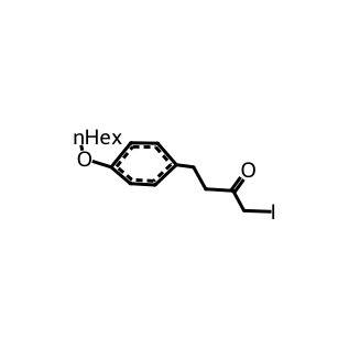 CCCCCCOc1ccc(CCC(=O)CI)cc1